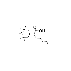 CCCCCCC(C(=O)O)C1CC(C)(C)N(C)C(C)(C)C1